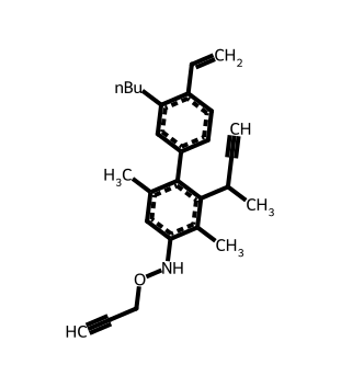 C#CCONc1cc(C)c(-c2ccc(C=C)c(CCCC)c2)c(C(C)C#C)c1C